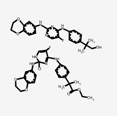 CC(C)(CO)c1ccc(Nc2nc(Nc3ccc4c(c3)OCCO4)ncc2F)cc1.CCOC(=O)C(C)(C)c1ccc(NC2=NC(Cl)(Nc3ccc4c(c3)OCCO4)NC=C2F)cc1